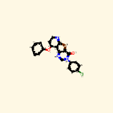 O=c1c2sc3nccc(Oc4ccccc4)c3c2ncn1-c1ccc(Cl)cc1